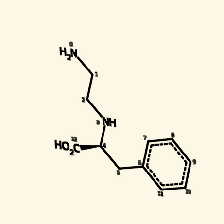 NCCN[C@@H](Cc1ccccc1)C(=O)O